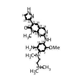 COc1cc(N(C)CCN(C)C)c(N)cc1Nc1ncc2cc(-c3cc[nH]n3)c(=O)n(C)c2n1